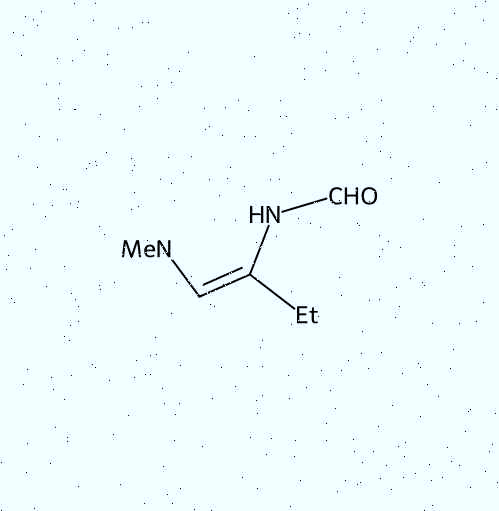 CC/C(=C/NC)NC=O